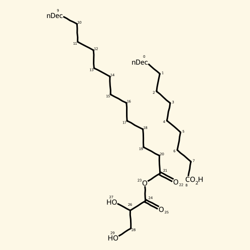 CCCCCCCCCCCCCCCCCC(=O)O.CCCCCCCCCCCCCCCCCCCCCC(=O)OC(=O)C(O)CO